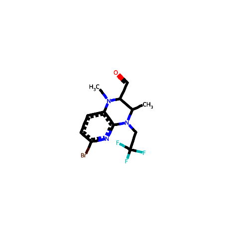 CC1C(C=O)N(C)c2ccc(Br)nc2N1CC(F)(F)F